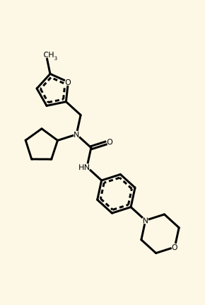 Cc1ccc(CN(C(=O)Nc2ccc(N3CCOCC3)cc2)C2CCCC2)o1